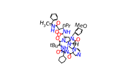 CCCC(NC(=O)[C@@H]1CC2(CN1C(=O)[C@@H](NC(=O)[C@@H](NC(=O)c1cnccn1)C1CCCCC1)C(C)(C)C)N(Cc1cccc(OC)c1)C(=O)[C@H]1CCCN12)C(=O)C(=O)N[C@@H](C)c1ccccc1